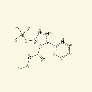 CCOC(=O)c1c(-c2ccccn2)nnn1C[Si](C)(C)C